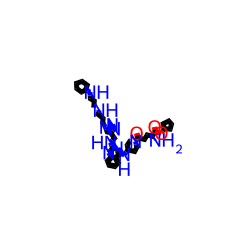 N[C@@H](CCC(=O)N1CCC(Nc2nc(NCc3cn(CCCNCCCNC4CCCCC4)nn3)nc3ccccc23)CC1)C(=O)OC1CCCC1